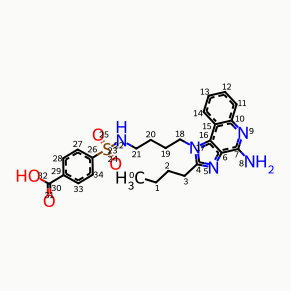 CCCCc1nc2c(N)nc3ccccc3c2n1CCCCNS(=O)(=O)c1ccc(C(=O)O)cc1